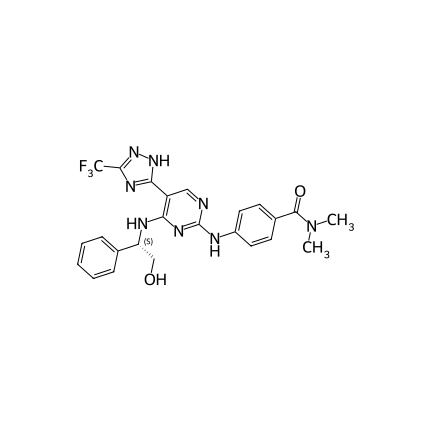 CN(C)C(=O)c1ccc(Nc2ncc(-c3nc(C(F)(F)F)n[nH]3)c(N[C@H](CO)c3ccccc3)n2)cc1